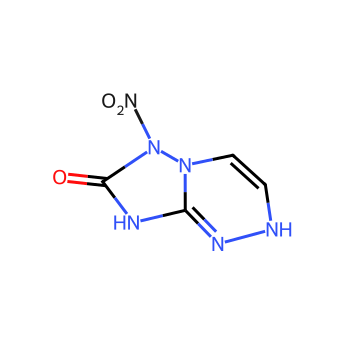 O=C1NC2=NNC=CN2N1[N+](=O)[O-]